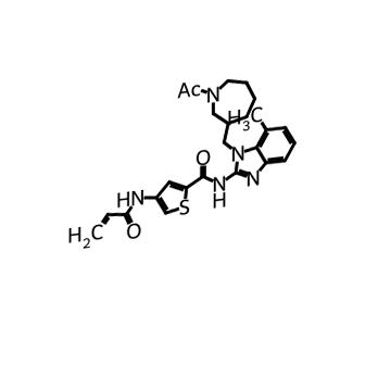 C=CC(=O)Nc1csc(C(=O)Nc2nc3cccc(C)c3n2CC2CCCCN(C(C)=O)C2)c1